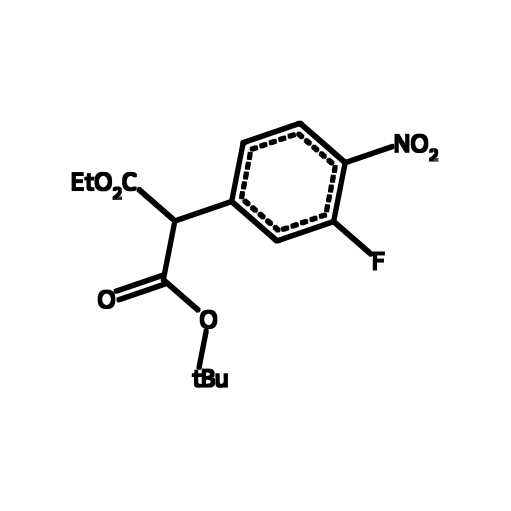 CCOC(=O)C(C(=O)OC(C)(C)C)c1ccc([N+](=O)[O-])c(F)c1